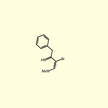 CN/C=C(/Br)C(=N)Cc1ccccc1